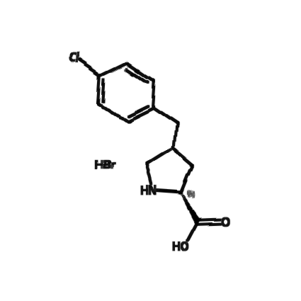 Br.O=C(O)[C@@H]1CC(Cc2ccc(Cl)cc2)CN1